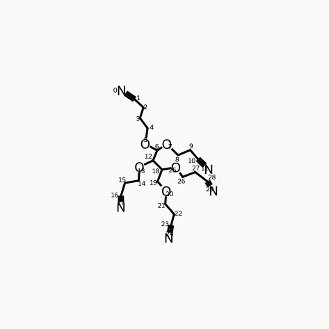 N#CCCCOC(OCCC#N)C(OCCC#N)C(COCCC#N)OCCC#N